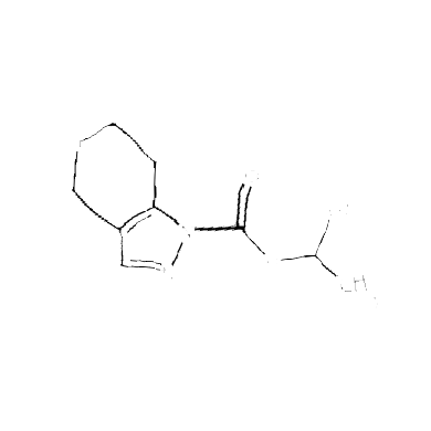 CC(C)OC(=O)n1ncc2c1CCNC2